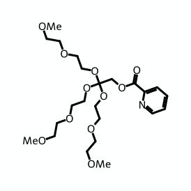 COCCOCCOC(COC(=O)c1ccccn1)(OCCOCCOC)OCCOCCOC